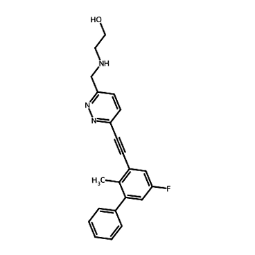 Cc1c(C#Cc2ccc(CNCCO)nn2)cc(F)cc1-c1ccccc1